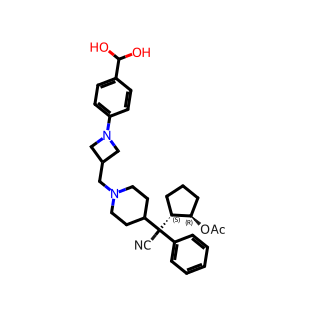 CC(=O)O[C@@H]1CCC[C@H]1C(C#N)(c1ccccc1)C1CCN(CC2CN(c3ccc(C(O)O)cc3)C2)CC1